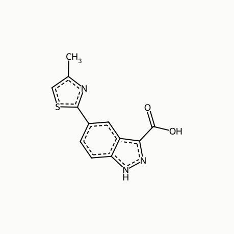 Cc1csc(-c2ccc3[nH]nc(C(=O)O)c3c2)n1